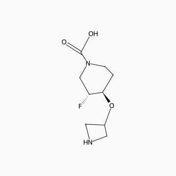 O=C(O)N1CC[C@@H](OC2CNC2)[C@H](F)C1